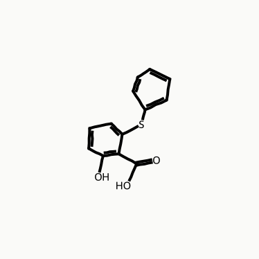 O=C(O)c1c(O)cccc1Sc1ccccc1